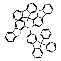 CC1(c2c(N(c3ccc4c(c3)C(c3ccccc3)(c3ccccc3)c3ccccc3-4)c3cccc4c3sc3ccccc34)ccc3c2oc2ccccc23)c2ccccc2-c2ccccc21